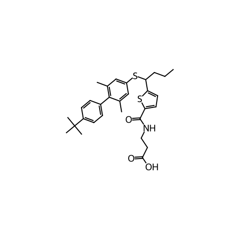 CCCC(Sc1cc(C)c(-c2ccc(C(C)(C)C)cc2)c(C)c1)c1ccc(C(=O)NCCC(=O)O)s1